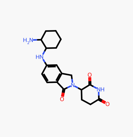 NC1CCCCC1Nc1ccc2c(c1)CN(C1CCC(=O)NC1=O)C2=O